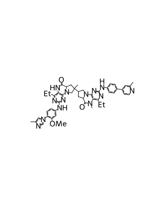 CCc1nc(Nc2ccc(-n3cnc(C)c3)c(OC)c2)nc2c1NC(=O)C1CC(C)(C3CC4C(=O)N(C)c5c(CC)nc(Nc6ccc(-c7ccnc(C)c7)cc6)nc5N4C3)CN21